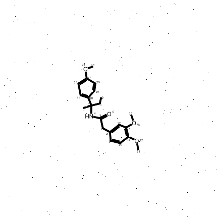 CCC(C)(NC(=O)Cc1ccc(OC)c(OC)c1)c1ccc(OC)cc1